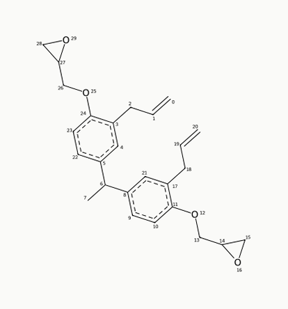 C=CCc1cc(C(C)c2ccc(OCC3CO3)c(CC=C)c2)ccc1OCC1CO1